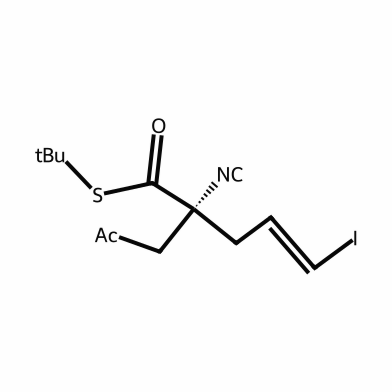 [C-]#[N+][C@](C/C=C/I)(CC(C)=O)C(=O)SC(C)(C)C